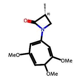 COC1=CC(OC)C(OC)=CC(N2C[C@@H](C)C2=O)=C1